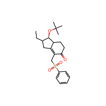 CCC1CC2=C(CS(=O)(=O)c3ccccc3)C(=O)CCC2[C@@H]1OC(C)(C)C